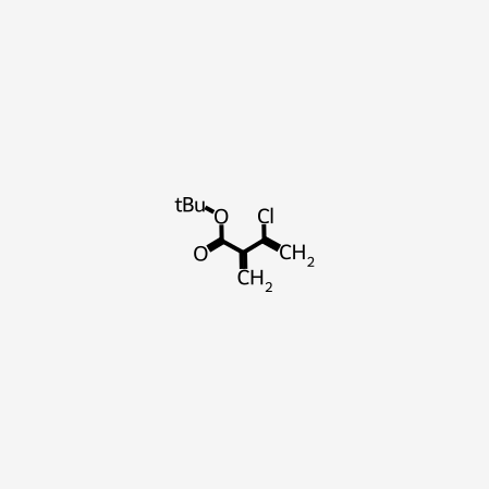 C=C(Cl)C(=C)C(=O)OC(C)(C)C